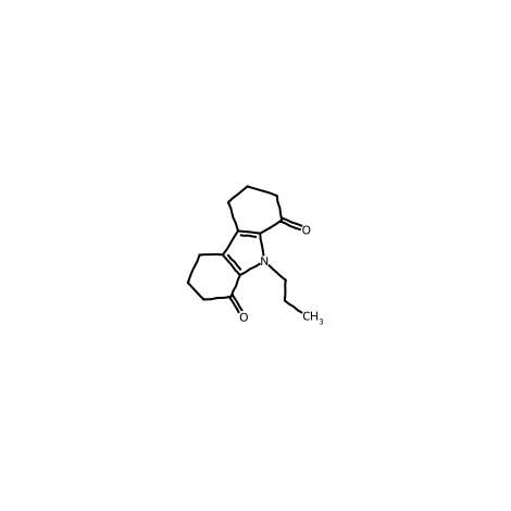 CCCn1c2c(c3c1C(=O)CCC3)CCCC2=O